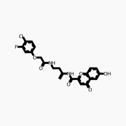 C=C(CCNC(=O)COc1ccc(Cl)c(F)c1)NC(=O)c1cc(=O)c2cc(O)ccc2o1